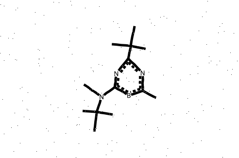 Cc1bc(N(C)C(C)(C)C)nc(C(C)(C)C)n1